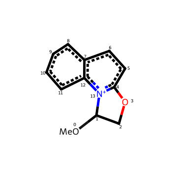 COC1COc2ccc3ccccc3[n+]21